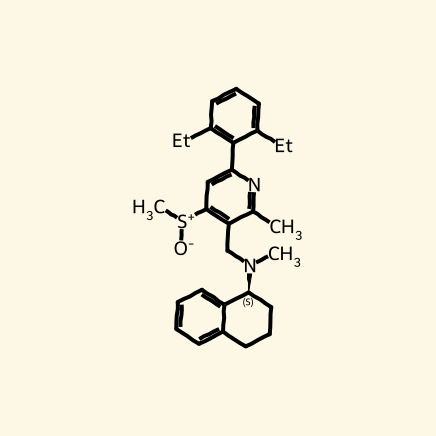 CCc1cccc(CC)c1-c1cc([S+](C)[O-])c(CN(C)[C@H]2CCCc3ccccc32)c(C)n1